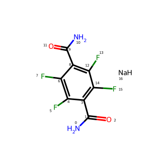 NC(=O)c1c(F)c(F)c(C(N)=O)c(F)c1F.[NaH]